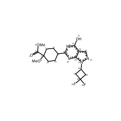 COC(=O)C1(OC)CCC(c2nc(O)c3cnn(C4CC(F)(F)C4)c3n2)CC1